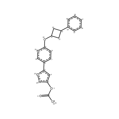 O=C(Oc1cc(-c2ccc(OC3CC(c4ccccc4)C3)nc2)on1)C(F)(F)F